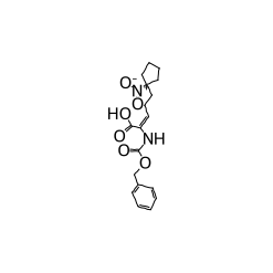 O=C(N/C(=C/CCC1([N+](=O)[O-])CCCC1)C(=O)O)OCc1ccccc1